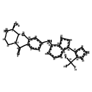 C[C@H]1CN(C(=O)c2ccc(Nc3nccn4c(-c5c[nH]nc5C(F)(F)F)cnc34)cc2Cl)CCN1